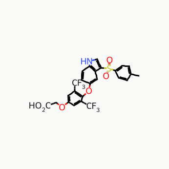 Cc1ccc(S(=O)(=O)c2c[nH]c3ccc(Oc4c(C(F)(F)F)cc(OCC(=O)O)cc4C(F)(F)F)cc23)cc1